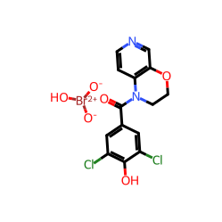 O=C(c1cc(Cl)c(O)c(Cl)c1)N1CCOc2cnccc21.[O-][Br+2]([O-])O